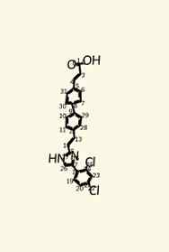 O=C(O)C=Cc1ccc(-c2ccc(C=Cc3nc(-c4ccc(Cl)cc4Cl)c[nH]3)cc2)cc1